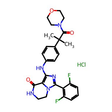 CC(C)(C(=O)N1CCOCC1)c1ccc(Nc2nc(-c3c(F)cccc3F)n3c2C(=O)NCC3)cc1.Cl